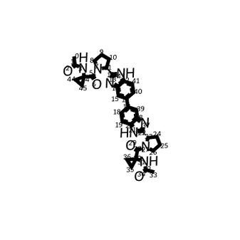 CC(=O)NC1(C(=O)N2CCC[C@H]2c2nc3cc(-c4ccc5[nH]c([C@@H]6CCCN6C(=O)C6(NC(C)=O)CC6)nc5c4)ccc3[nH]2)CC1